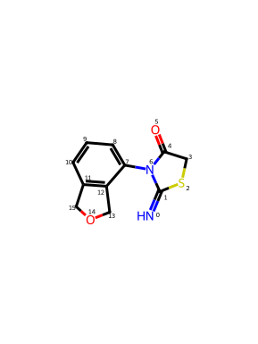 N=C1SCC(=O)N1c1cccc2c1COC2